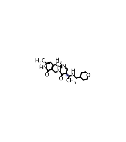 C/C(NCC1CCOCC1)=C(/C=N)C(=O)NCc1c(C)cc(C)[nH]c1=O